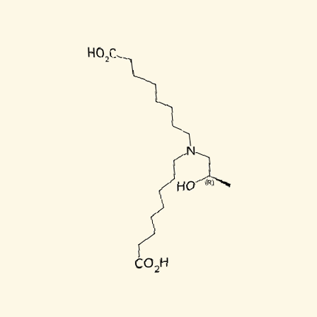 C[C@@H](O)CN(CCCCCCCC(=O)O)CCCCCCCC(=O)O